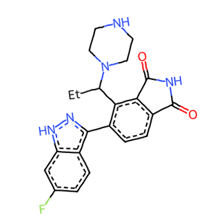 CCC(c1c(-c2n[nH]c3cc(F)ccc23)ccc2c1C(=O)NC2=O)N1CCNCC1